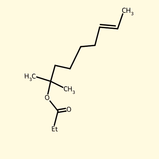 CC=CCCCCC(C)(C)OC(=O)CC